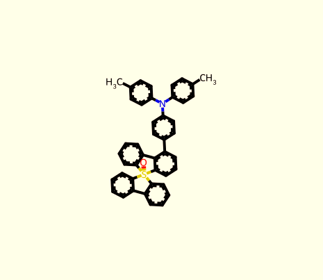 Cc1ccc(N(c2ccc(C)cc2)c2ccc(-c3cccc4c3-c3ccccc3S43(=O)c4ccccc4-c4ccccc43)cc2)cc1